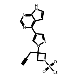 C#CCC1(n2cc(-c3ncnc4[nH]ccc34)cn2)CN(S(=O)(=O)CC)C1